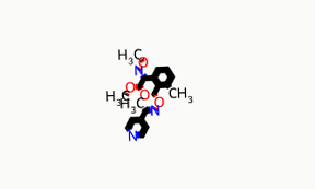 CO/N=C(/C(=O)OC)c1cccc(C)c1CO/N=C(\C)c1ccncc1